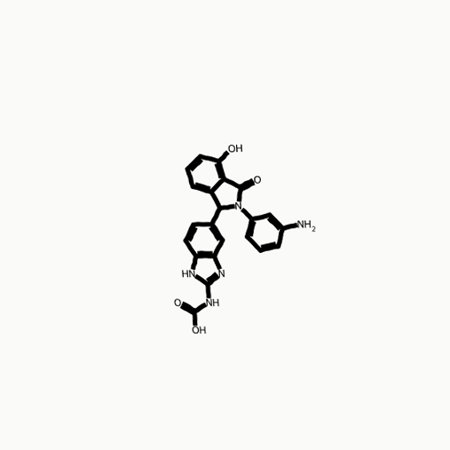 Nc1cccc(N2C(=O)c3c(O)cccc3C2c2ccc3[nH]c(NC(=O)O)nc3c2)c1